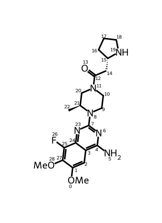 COc1cc2c(N)nc(N3CCN(C(=O)C[C@@H]4CCCN4)C[C@@H]3C)nc2c(F)c1OC